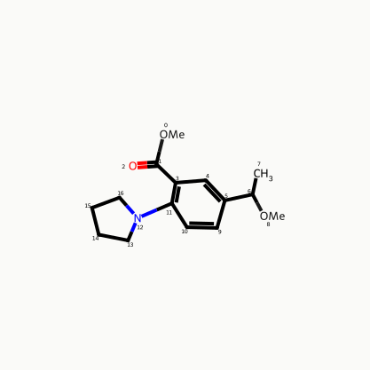 COC(=O)c1cc(C(C)OC)ccc1N1CCCC1